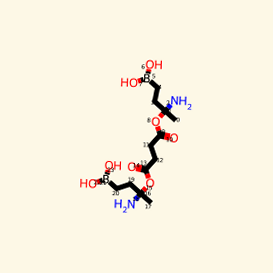 CC(N)(CCB(O)O)OC(=O)CCC(=O)OC(C)(N)CCB(O)O